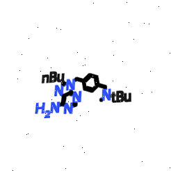 CCCCc1nc2c(N)ncnc2n1Cc1ccc(CN(C)C(C)(C)C)cc1